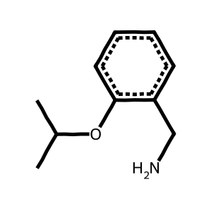 CC(C)Oc1ccccc1CN